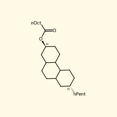 CCCCCCCCC(=O)O[C@H]1CCC2C(CCC3C[C@@H](CCCCC)CCC32)C1